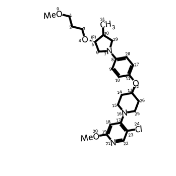 COCCCO[C@H]1CN(c2ccc(OC3CCN(c4cc(OC)ncc4Cl)CC3)cc2)CC1C